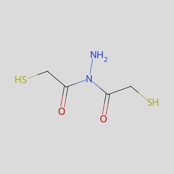 NN(C(=O)CS)C(=O)CS